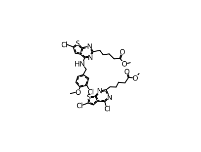 COC(=O)CCCCc1nc(Cl)c2cc(Cl)sc2n1.COC(=O)CCCCc1nc(NCc2ccc(OC)c(Cl)c2)c2cc(Cl)sc2n1